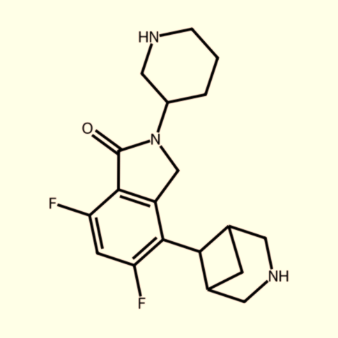 O=C1c2c(F)cc(F)c(C3C4CNCC3C4)c2CN1C1CCCNC1